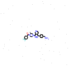 C[C@H]1CN(c2nnc(-c3ccc(CN)cc3)c3ccncc23)CCN1C(=O)C1CCC(F)(F)CC1